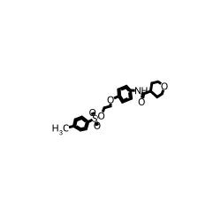 Cc1ccc(S(=O)(=O)OCCOc2ccc(NC(=O)C3CCOCC3)cc2)cc1